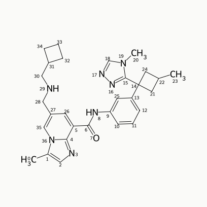 Cc1cnc2c(C(=O)Nc3cccc(C4(c5nncn5C)CC(C)C4)c3)cc(CNCC3CCC3)cn12